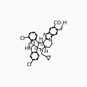 O=C(O)c1cc2nc3n(c2cc1F)CC[C@H]1[C@@H]3[C@H](c2cccc(Cl)c2F)[C@]2(C(=O)Nc3cc(Cl)ccc32)N1CC1CC1